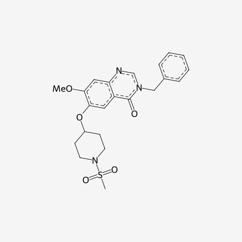 COc1cc2ncn(Cc3ccccc3)c(=O)c2cc1OC1CCN(S(C)(=O)=O)CC1